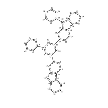 c1ccc(-c2cc(-c3ccc4c(c3)sc3ccccc34)nc(-c3ccc4c5ccccc5n(-c5ccccc5)c4c3)n2)cc1